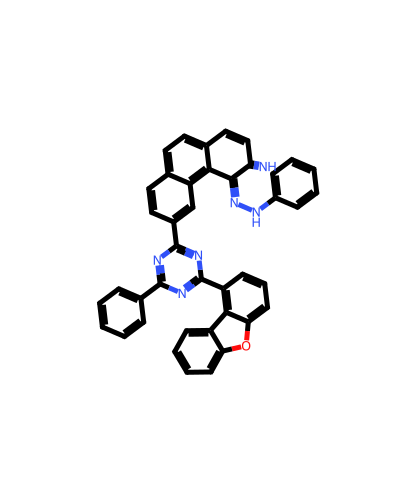 N=C1C=Cc2ccc3ccc(-c4nc(-c5ccccc5)nc(-c5cccc6oc7ccccc7c56)n4)cc3c2/C1=N/Nc1ccccc1